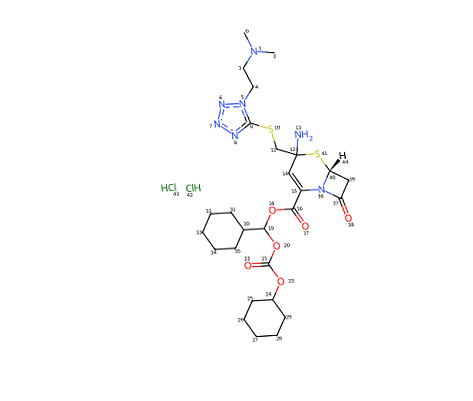 CN(C)CCn1nnnc1SCC1(N)C=C(C(=O)OC(OC(=O)OC2CCCCC2)C2CCCCC2)N2C(=O)C[C@H]2S1.Cl.Cl